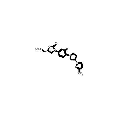 CC(=O)NC[C@H]1CN(c2ccc(N3CC[C@@H](n4ccc(C(F)(F)F)n4)C3)c(F)c2)C(=O)O1